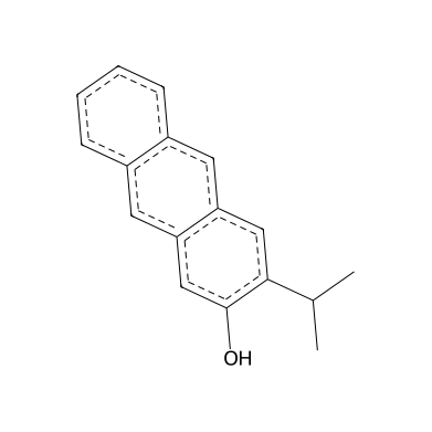 CC(C)c1cc2cc3ccccc3cc2cc1O